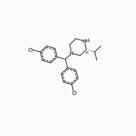 CC(C)[C@@H]1CN(C(c2ccc(Cl)cc2)c2ccc(Cl)cc2)CCN1